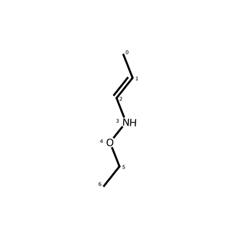 CC=CNOCC